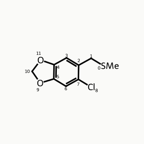 CSCc1cc2c(cc1Cl)OCO2